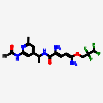 Cc1cc(C(C)NC(=O)/C(N)=C/C=C(\N)OCC(F)(F)C(F)F)cc(NC(=O)C(C)C)n1